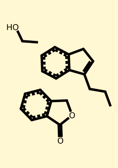 CCCC1=CCc2ccccc21.CCO.O=C1OCc2ccccc21